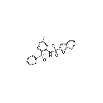 O=S(=O)(Nc1cc(F)cnc1[S+]([O-])c1ccccc1)c1cc2ccccc2o1